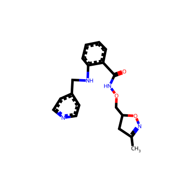 CC1=NOC(CONC(=O)c2ccccc2NCc2ccncc2)C1